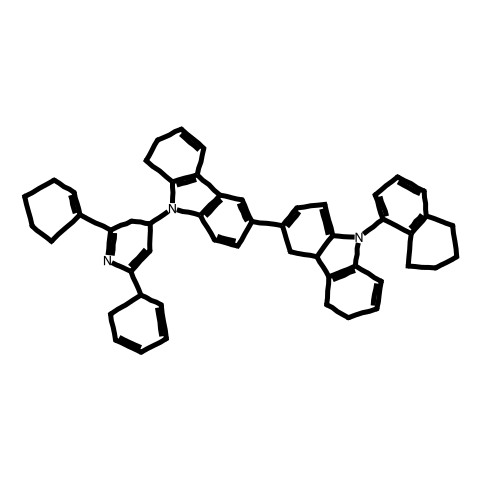 C1=CCC(C2=CC(n3c4c(c5cc(C6=CC=C7C(C6)C6=C(C=CCC6)N7c6cccc7c6CCCC7)ccc53)C=CCC4)CC(C3=CCCCC3)=N2)C=C1